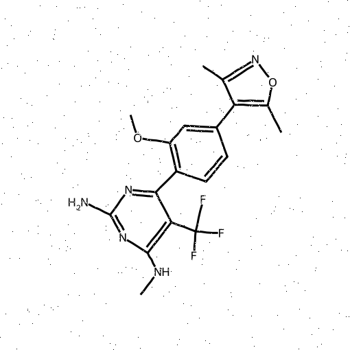 CNc1nc(N)nc(-c2ccc(-c3c(C)noc3C)cc2OC)c1C(F)(F)F